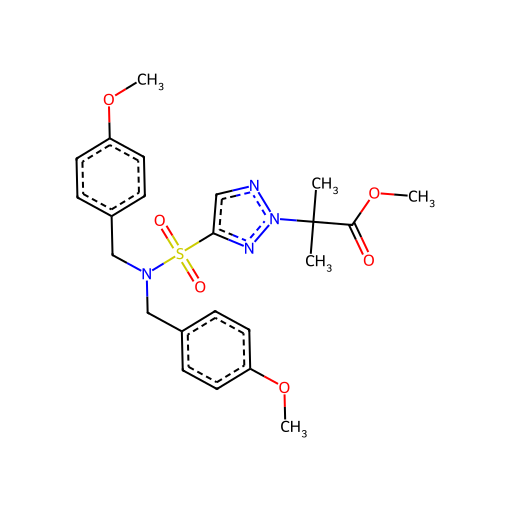 COC(=O)C(C)(C)n1ncc(S(=O)(=O)N(Cc2ccc(OC)cc2)Cc2ccc(OC)cc2)n1